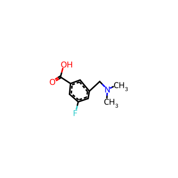 CN(C)Cc1cc(F)cc(C(=O)O)c1